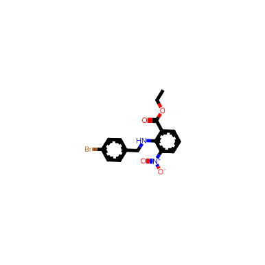 CCOC(=O)c1cccc([N+](=O)[O-])c1NCc1ccc(Br)cc1